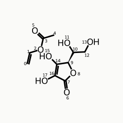 C=COC(C)=O.O=C1O[C@H](C(O)CO)C(O)=C1O